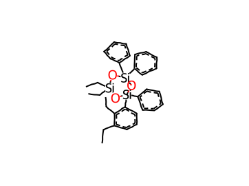 CCc1cccc([Si]2(c3ccccc3)O[Si](CC)(CC)O[Si](c3ccccc3)(c3ccccc3)O2)c1CC